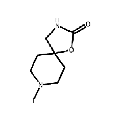 O=C1NCC2(CCN(I)CC2)O1